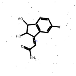 NC(=O)/C=C1/c2cc(F)ccc2C(O)C1O